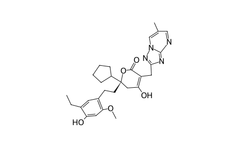 CCc1cc(CC[C@]2(C3CCCC3)CC(O)=C(Cc3nc4ncc(C)cn4n3)C(=O)O2)c(OC)cc1O